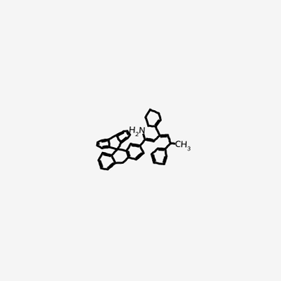 CC(/C=C(\C=C(/N)c1ccc2c(c1)C1(c3ccccc3C2)c2ccccc2-c2ccccc21)C1=CCCCC1)c1ccccc1